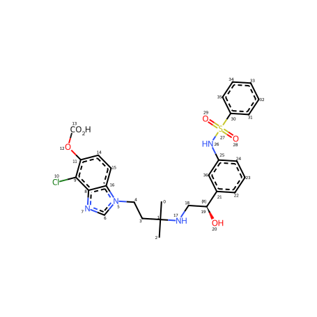 CC(C)(CCn1cnc2c(Cl)c(OC(=O)O)ccc21)NC[C@H](O)c1cccc(NS(=O)(=O)c2ccccc2)c1